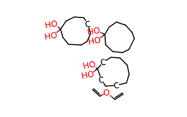 C=COC=C.OC1(O)CCCCCCCCC1.OC1(O)CCCCCCCCC1.OC1(O)CCCCCCCCC1